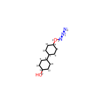 [N-]=[N+]=NOC1CCC(C2CCC(O)CC2)CC1